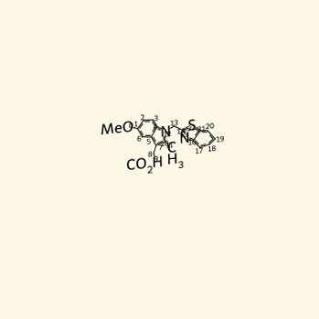 COc1ccc2c(c1)c(CC(=O)O)c(C)n2Cc1nc2ccccc2s1